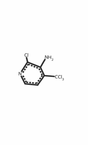 Nc1c(C(Cl)(Cl)Cl)ccnc1Cl